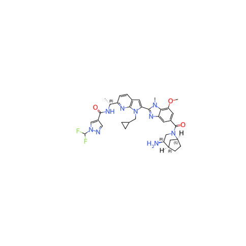 COc1cc(C(=O)N2C[C@H](N)[C@@H]3CC[C@H]2C3)cc2nc(-c3cc4ccc([C@@H](C)NC(=O)c5cnn(C(F)F)c5)nc4n3CC3CC3)n(C)c12